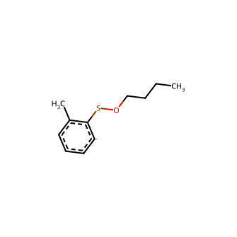 CCCCOSc1[c]cccc1C